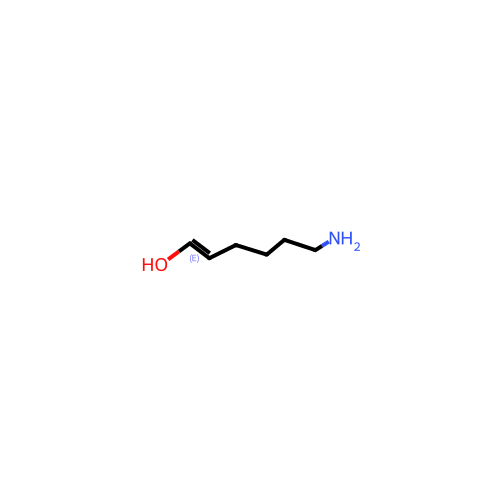 NCCCC/C=C/O